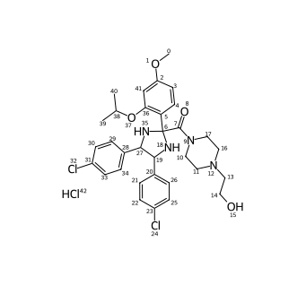 COc1ccc(C2(C(=O)N3CCN(CCO)CC3)NC(c3ccc(Cl)cc3)C(c3ccc(Cl)cc3)N2)c(OC(C)C)c1.Cl